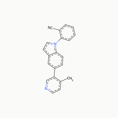 Cc1ccncc1-c1ccc2c(ccn2-c2ccccc2C#N)c1